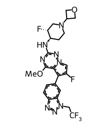 COc1nc(N[C@@H]2CCN(C3COC3)C[C@H]2F)nn2cc(F)c(-c3ccc4nnn(CC(F)(F)F)c4c3)c12